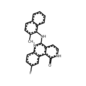 Cc1ccc2ccccc2c1Nc1nc2ccc(F)cc2c2c(=O)[nH]ccc12